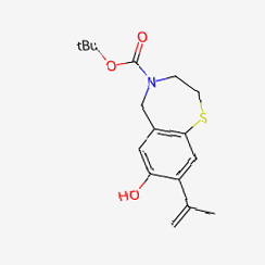 C=C(C)c1cc2c(cc1O)CN(C(=O)OC(C)(C)C)CCS2